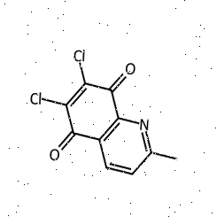 Cc1ccc2c(n1)C(=O)C(Cl)=C(Cl)C2=O